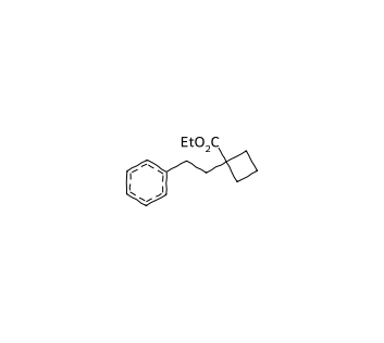 CCOC(=O)C1(CCc2ccccc2)CCC1